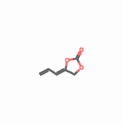 C=CC=C1COC(=O)O1